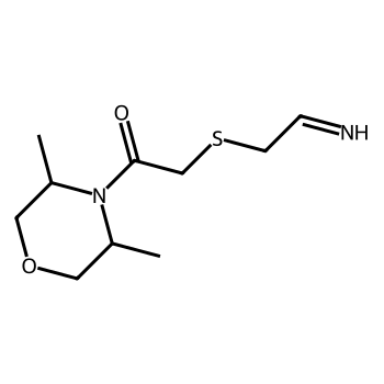 CC1COCC(C)N1C(=O)CSCC=N